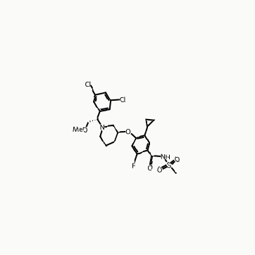 COC[C@H](c1cc(Cl)cc(Cl)c1)N1CCCC(Oc2cc(F)c(C(=O)NS(C)(=O)=O)cc2C2CC2)C1